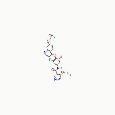 CCOc1ccc2c(Oc3c(F)cc(NC(=O)c4cnccc4OC)cc3I)ccnc2c1